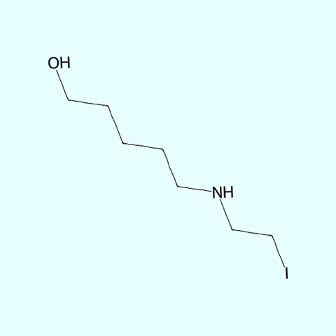 OCCCCCNCCI